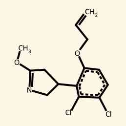 C=CCOc1ccc(Cl)c(Cl)c1C1CN=C(OC)C1